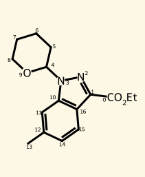 CCOC(=O)c1nn(C2CCCCO2)c2cc(C)ccc12